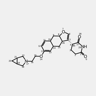 O=C1CC[C@H](C2=COC3CC4C=CC(OCCN5CC6CC6C5)=CC4CC23)C(=O)N1